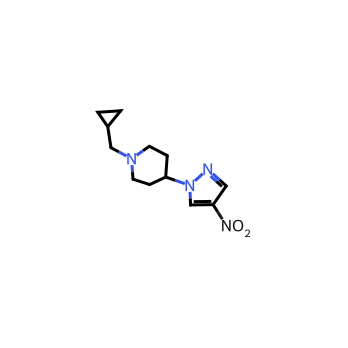 O=[N+]([O-])c1cnn(C2CCN(CC3CC3)CC2)c1